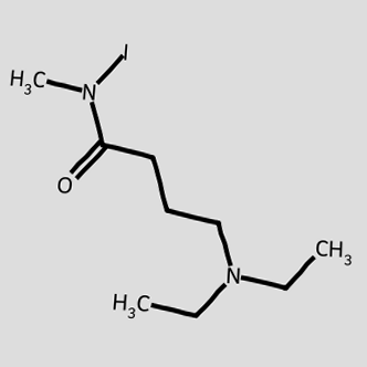 CCN(CC)CCCC(=O)N(C)I